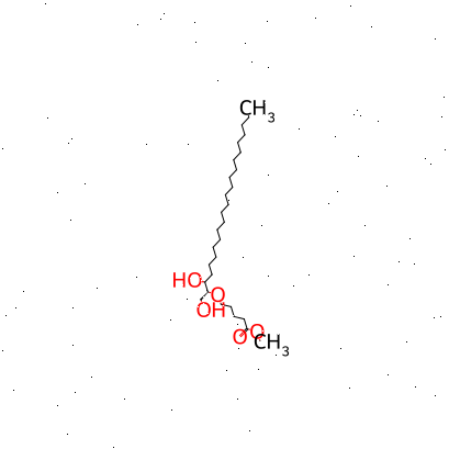 CCCCCCCCCCCCCCCCCCCC[C@H](O)[C@H](CO)OCCCCC(=O)OC